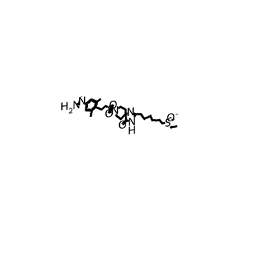 CC[S+]([O-])CCCCCCC1=NC2(CCN(S(=O)(=O)CCc3c(C)cc(N(C)N)cc3C)CC2)C(=O)N1